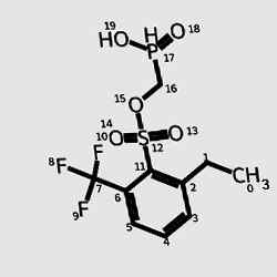 CCc1cccc(C(F)(F)F)c1S(=O)(=O)OC[PH](=O)O